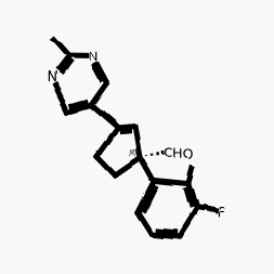 Cc1ncc(C2=C[C@@](C=O)(c3cccc(F)c3C)CC2)cn1